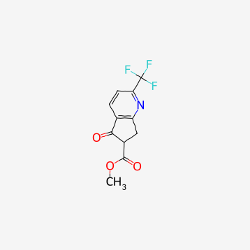 COC(=O)C1Cc2nc(C(F)(F)F)ccc2C1=O